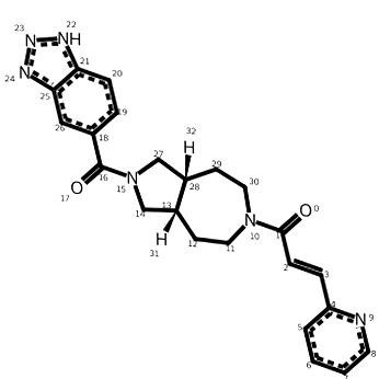 O=C(C=Cc1ccccn1)N1CC[C@@H]2CN(C(=O)c3ccc4[nH]nnc4c3)C[C@@H]2CC1